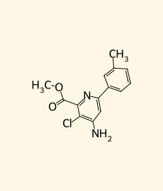 COC(=O)c1nc(-c2cccc(C)c2)cc(N)c1Cl